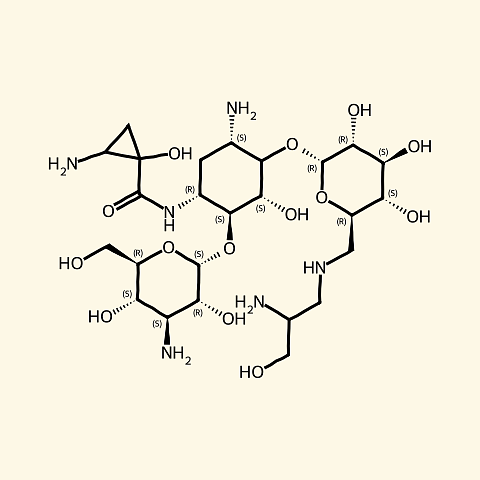 NC(CO)CNC[C@H]1O[C@H](OC2[C@@H](N)C[C@@H](NC(=O)C3(O)CC3N)[C@H](O[C@H]3O[C@H](CO)[C@@H](O)[C@H](N)[C@H]3O)[C@H]2O)[C@H](O)[C@@H](O)[C@@H]1O